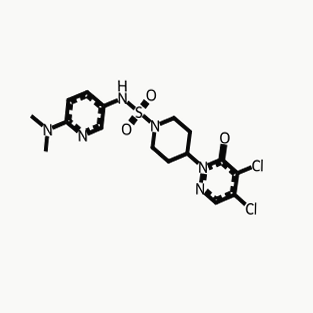 CN(C)c1ccc(NS(=O)(=O)N2CCC(n3ncc(Cl)c(Cl)c3=O)CC2)cn1